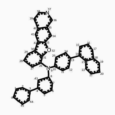 c1ccc(-c2cccc(N(c3ccc(-c4cccc5ccccc45)cc3)c3cccc4c3oc3cc5cnccc5cc34)c2)cc1